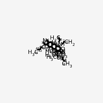 C=CCN(CC=C)[C@@H]1c2onc(OCCCC)c2C(=O)[C@@]2(O[Si](C)(C)C(C)(C)C)C(O)=C3C(=O)c4c(cncc4OCCCC)C[C@H]3C[C@@H]12